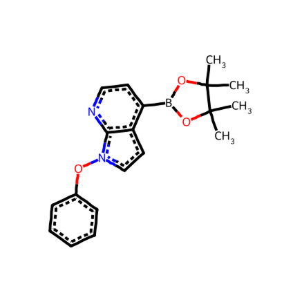 CC1(C)OB(c2ccnc3c2ccn3Oc2ccccc2)OC1(C)C